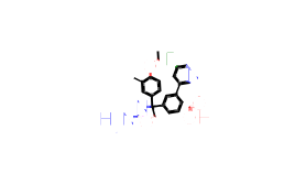 CCOc1ccc(C2(c3cccc(-c4cncc(F)c4)c3)COC(N)=N2)cc1C.O=CO